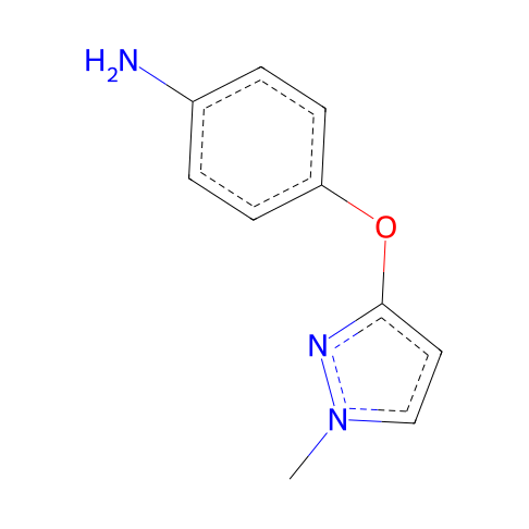 Cn1ccc(Oc2ccc(N)cc2)n1